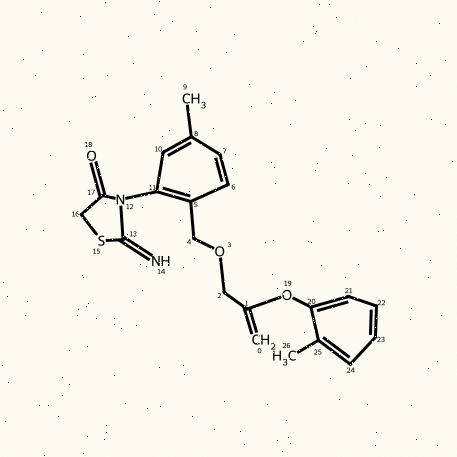 C=C(COCc1ccc(C)cc1N1C(=N)SCC1=O)Oc1ccccc1C